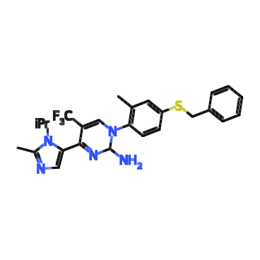 Cc1cc(SCc2ccccc2)ccc1N1C=C(C(F)(F)F)C(c2cnc(C)n2C(C)C)=NC1N